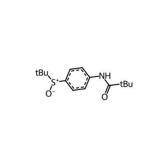 CC(C)(C)C(=O)Nc1ccc([S+]([O-])C(C)(C)C)cc1